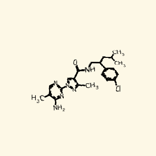 Cc1cnc(-n2cc(C(=O)NCC(CC(C)C)c3ccc(Cl)cc3)c(C)n2)nc1N